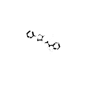 O=C(NC1C(=O)N(c2ccccc2)CC1C(=O)O)c1n[nH]c2ccccc12